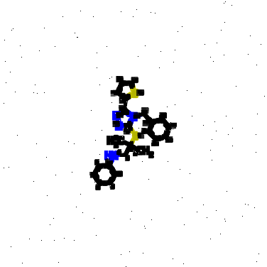 CC(C)(CNc1ccccc1)Sc1nnc(-c2cccs2)n1Cc1ccccc1